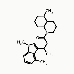 Cc1cccc2c1c(C(C)CC(=O)N1CCCC3C(C)CCCC31)cn2C